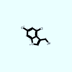 Clc1cc(Cl)c2c(CBr)coc2c1